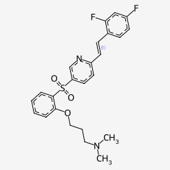 CN(C)CCCOc1ccccc1S(=O)(=O)c1ccc(/C=C/c2ccc(F)cc2F)nc1